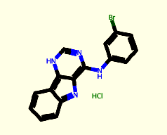 Brc1cccc(Nc2nc[nH]c3c4ccccc4nc2-3)c1.Cl